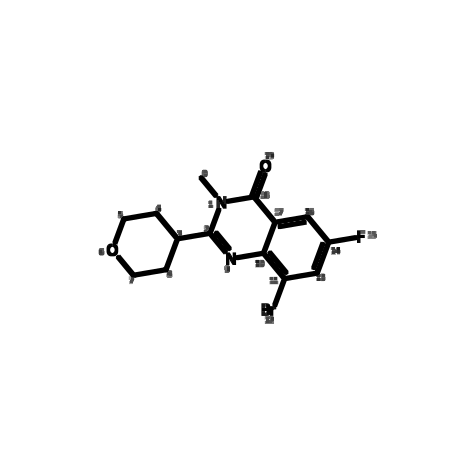 Cn1c(C2CCOCC2)nc2c(Br)cc(F)cc2c1=O